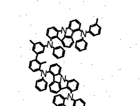 Cc1cccc(N(c2ccccc2)c2cccc3c2c2cccc4c5c(N(c6ccccc6)c6cc(C)cc(-c7cccc(N(c8ccccc8)c8cccc9c8c8cccc%10c%11c(N(c%12ccccc%12)c%12ccccc%12C)cccc%11n9c%108)c7C)c6)cccc5n3c24)c1